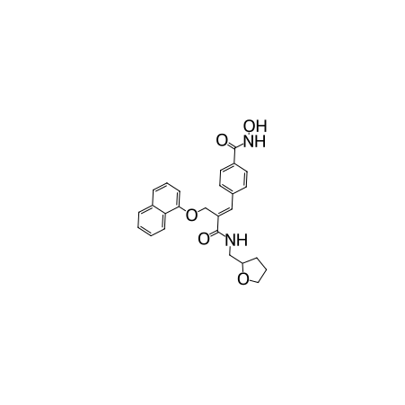 O=C(NCC1CCCO1)/C(=C/c1ccc(C(=O)NO)cc1)COc1cccc2ccccc12